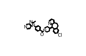 Cc1nc2cnccc2n1-c1ccc(C(=O)N2CCC(=C3c4ccc(Cl)cc4CCc4cccnc43)CC2)cc1